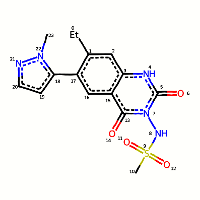 CCc1cc2[nH]c(=O)n(NS(C)(=O)=O)c(=O)c2cc1-c1ccnn1C